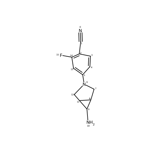 N#Cc1ccc(N2CC3C(N)C3C2)cc1F